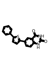 O=c1[nH]c(=O)c2cc(-c3ccc(-c4ccccc4)s3)ccc2[nH]1